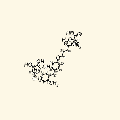 Cc1ccc([C@H]2[C@H](O)[C@H](O)[C@H](O)C[SH]2C)cc1Cc1ccc(OCCCC(=O)NC(C)(C)C(=O)O)cc1